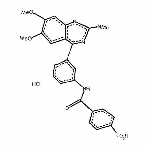 CNc1nc(-c2cccc(NC(=O)c3ccc(C(=O)O)cc3)c2)c2cc(OC)c(OC)cc2n1.Cl